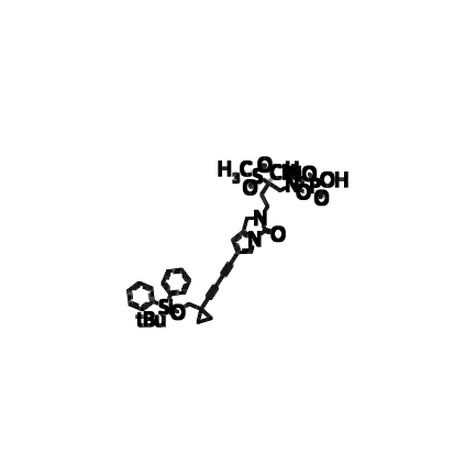 CC(C)(C)[Si](OCC1(C#CC#Cc2cc3n(c2)C(=O)N(CC[C@](C)(CNOP(=O)(O)O)S(C)(=O)=O)C3)CC1)(c1ccccc1)c1ccccc1